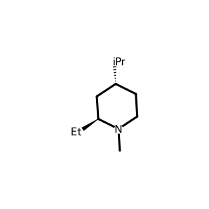 CC[C@H]1C[C@H](C(C)C)CCN1C